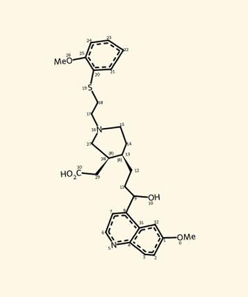 COc1ccc2nccc(C(O)CC[C@@H]3CCN(CCSc4ccccc4OC)C[C@@H]3CC(=O)O)c2c1